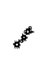 CN1C[C@H](c2ccc(OCc3ccccc3)cc2)OCC1=O